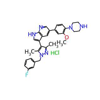 COc1cc(-c2cnc3[nH]cc(-c4c(C)nn(Cc5cccc(F)c5)c4C)c3c2)ccc1N1CCNCC1.Cl